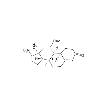 CC(=O)OC1C[C@]2(C)C([N+](=O)[O-])CC[C@H]2[C@@H]2CCC3=CC(=O)CC[C@]3(C)[C@H]12